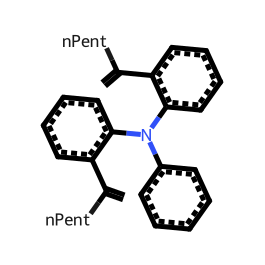 C=C(CCCCC)c1ccccc1N(c1ccccc1)c1ccccc1C(=C)CCCCC